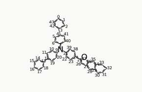 c1ccc(-c2ccc(N(c3ccc(-c4ccccc4)cc3)c3ccc(-c4cc5cc6ccccc6cc5o4)cc3)cc2)cc1